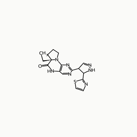 CC[C@@]12CCCN1c1nc(C3C=NNC3c3nccs3)ncc1NC2=O